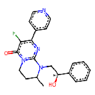 CC1CCn2c(nc(-c3ccncc3)c(F)c2=O)N1C[C@H](O)c1ccccc1